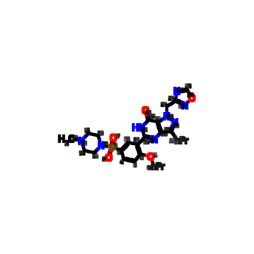 CCCOc1ccc(S(=O)(=O)N2CCN(C)CC2)cc1-c1nc2c(CCC)nn(Cc3ncon3)c2c(=O)[nH]1